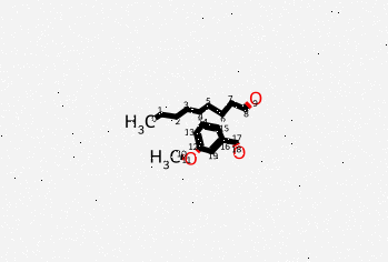 CCCCCCCCC=O.COc1cccc(C=O)c1